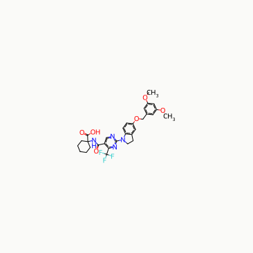 COc1cc(COc2ccc3c(c2)CCN3c2ncc(C(=O)NC3(C(=O)O)CCCCC3)c(C(F)(F)F)n2)cc(OC)c1